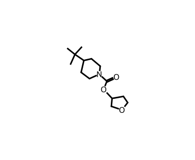 CC(C)(C)C1CCN(C(=O)OC2CCOC2)CC1